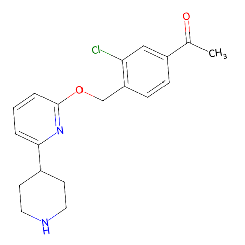 CC(=O)c1ccc(COc2cccc(C3CCNCC3)n2)c(Cl)c1